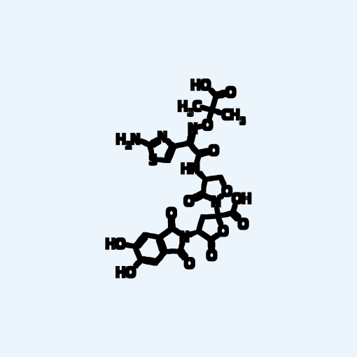 CC(C)(O/N=C(\C(=O)N[C@H]1CON(C2(C(=O)O)C[C@H](N3C(=O)c4cc(O)c(O)cc4C3=O)C(=O)O2)C1=O)c1csc(N)n1)C(=O)O